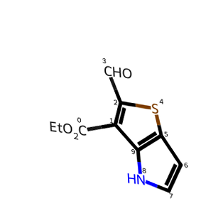 CCOC(=O)c1c(C=O)sc2cc[nH]c12